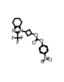 O=C(Oc1ccc([N+](=O)[O-])cc1)OC1CC(n2c(C(F)(F)F)nc3c2CCCC3)C1